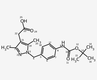 Cc1nn(Cc2ccc(NC(=O)OC(C)(C)C)cc2)c(C)c1CC(=O)O